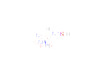 CC1CN(S(C)(=O)=O)CCN1Cc1cc2c(=O)n(C)cc(-c3ccncc3NC(=O)O)c2o1